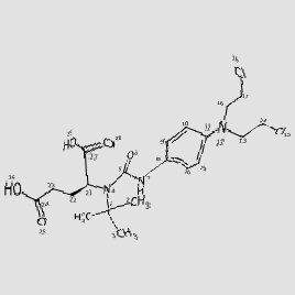 CC(C)(C)N(C(=O)Nc1ccc(N(CCCl)CCCl)cc1)[C@@H](CCC(=O)O)C(=O)O